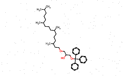 CC(C)CCCC(C)CCCC(C)CCCC(C)CCOCC(O)COC(c1ccccc1)(c1ccccc1)c1ccccc1